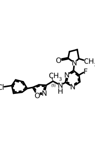 CC1CCC(=O)N1c1nc(N[C@@H](C)c2cc(-c3ccc(Cl)cc3)on2)ncc1F